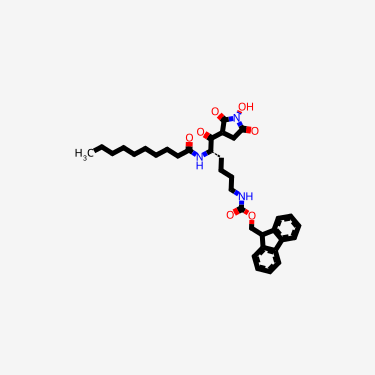 CCCCCCCCCC(=O)N[C@@H](CCCCNC(=O)OCC1c2ccccc2-c2ccccc21)C(=O)C1CC(=O)N(O)C1=O